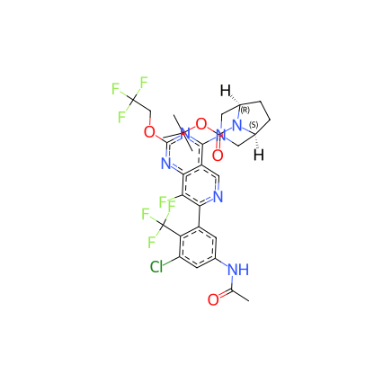 CC(=O)Nc1cc(Cl)c(C(F)(F)F)c(-c2ncc3c(N4C[C@H]5CC[C@@H](C4)N5C(=O)OC(C)(C)C)nc(OCC(F)(F)F)nc3c2F)c1